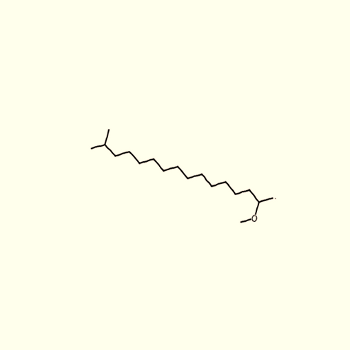 [CH2]C(CCCCCCCCCCCCC(C)C)OC